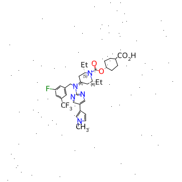 CC[C@@H]1C[C@H](N(Cc2cc(F)cc(C(F)(F)F)c2)c2ncc(-c3ccn(C)c3)cn2)C[C@H](CC)N1C(=O)O[C@H]1CC[C@H](C(=O)O)CC1